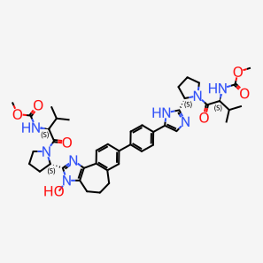 COC(=O)N[C@H](C(=O)N1CCC[C@H]1c1ncc(-c2ccc(-c3ccc4c(c3)CCCc3c-4nc([C@@H]4CCCN4C(=O)[C@@H](NC(=O)OC)C(C)C)n3O)cc2)[nH]1)C(C)C